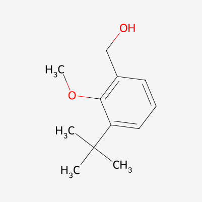 COc1c(CO)cccc1C(C)(C)C